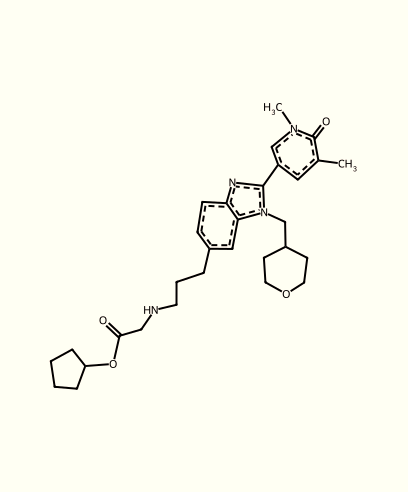 Cc1cc(-c2nc3ccc(CCCNCC(=O)OC4CCCC4)cc3n2CC2CCOCC2)cn(C)c1=O